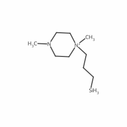 CN1CC[N+](C)(CCC[SiH3])CC1